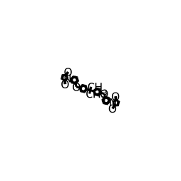 CC(C)(c1ccc(Oc2cccc(N3C(=O)C=CC3=O)c2)cc1)c1ccc(Oc2cccc(N3C(=O)C=CC3=O)c2)cc1